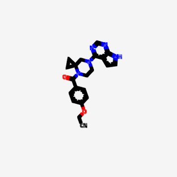 N#CCOc1ccc(C(=O)N2CCN(c3ncnc4[nH]ccc34)CC23CC3)cc1